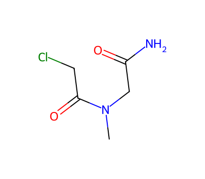 CN(CC(N)=O)C(=O)CCl